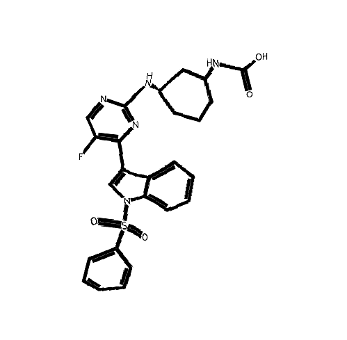 O=C(O)NC1CCC[C@@H](Nc2ncc(F)c(-c3cn(S(=O)(=O)c4ccccc4)c4ccccc34)n2)C1